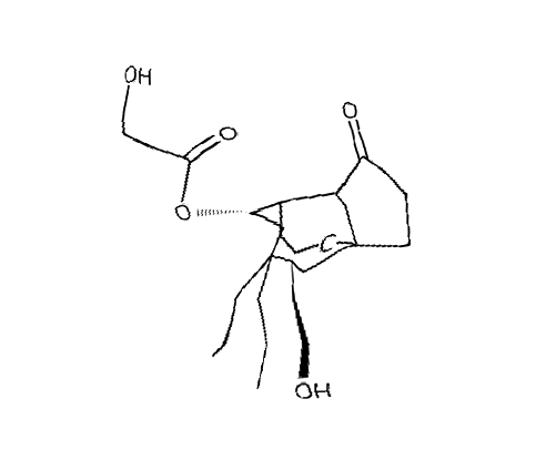 CC1(C)C[C@H](OC(=O)CO)C2CCCC3(CCC(=O)C23)C[C@@H]1O